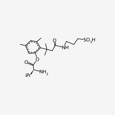 Cc1cc(C)c(C(C)(C)CC(=O)NCCCS(=O)(=O)O)c(OC(=O)[C@@H](N)C(C)C)c1